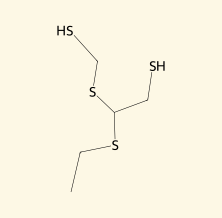 CCSC(CS)SCS